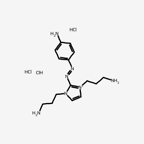 Cl.Cl.Cl.NCCCn1cc[n+](CCCN)c1/N=N/c1ccc(N)cc1